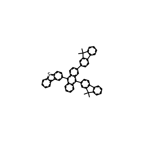 CC1(C)c2ccccc2-c2ccc(-c3ccc4c(-c5ccc6sc7ccccc7c6c5)c5ccccc5c(-c5ccc6c(c5)C(C)(C)c5ccccc5-6)c4c3)cc21